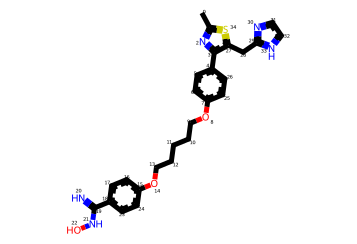 Cc1nc(-c2ccc(OCCCCCOc3ccc(C(=N)NO)cc3)cc2)c(Cc2ncc[nH]2)s1